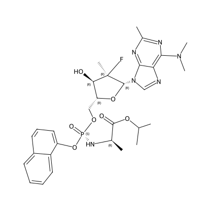 Cc1nc(N(C)C)c2ncn([C@@H]3O[C@H](CO[P@@](=O)(N[C@H](C)C(=O)OC(C)C)Oc4cccc5ccccc45)[C@@H](O)[C@@]3(C)F)c2n1